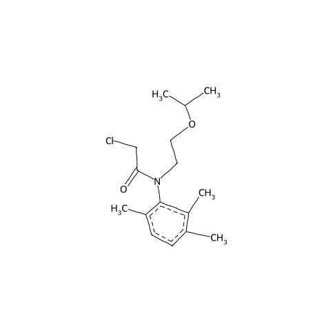 Cc1ccc(C)c(N(CCOC(C)C)C(=O)CCl)c1C